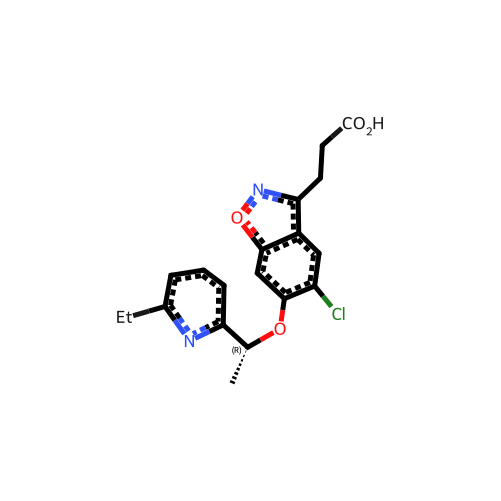 CCc1cccc([C@@H](C)Oc2cc3onc(CCC(=O)O)c3cc2Cl)n1